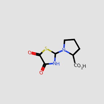 O=C1N[C](N2CCCC2C(=O)O)SC1=O